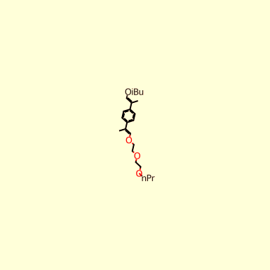 CCCOCCOCCOC=C(C)c1ccc(C(C)=COCC(C)C)cc1